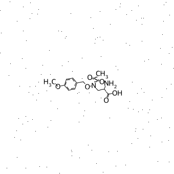 COc1ccc(CON(CC(N)C(=O)O)S(C)(=O)=O)cc1